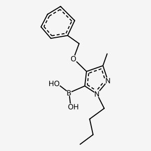 CCCCn1nc(C)c(OCc2ccccc2)c1B(O)O